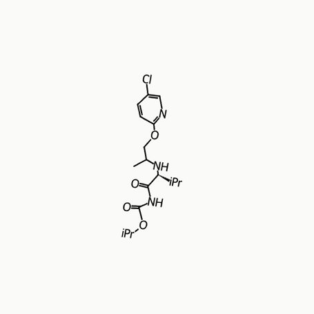 CC(COc1ccc(Cl)cn1)N[C@H](C(=O)NC(=O)OC(C)C)C(C)C